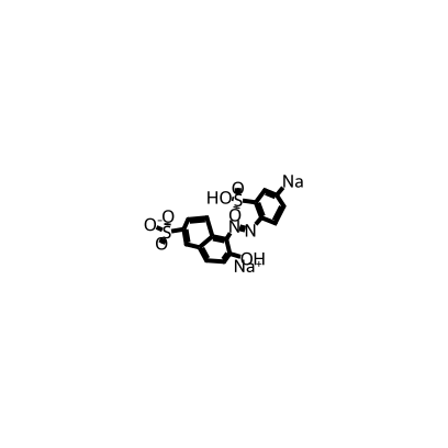 O=S(=O)([O-])c1ccc2c(N=Nc3cc[c]([Na])cc3S(=O)(=O)O)c(O)ccc2c1.[Na+]